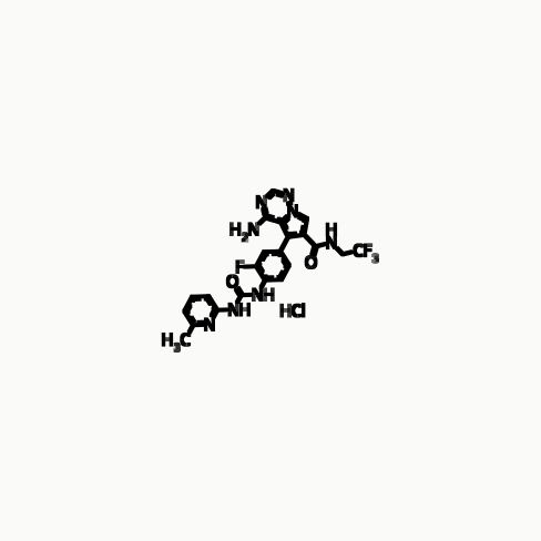 Cc1cccc(NC(=O)Nc2ccc(-c3c(C(=O)NCC(F)(F)F)cn4ncnc(N)c34)cc2F)n1.Cl